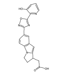 O=C(O)CC1CCn2c1cc1cc(-c3noc(-c4ncccc4O)n3)ccc12